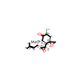 CO[C@@H]1C(=O)[C@@H](F)C[C@]2(CO2)[C@H]1[C@@]1(C)O[C@@H]1CC=C(C)C